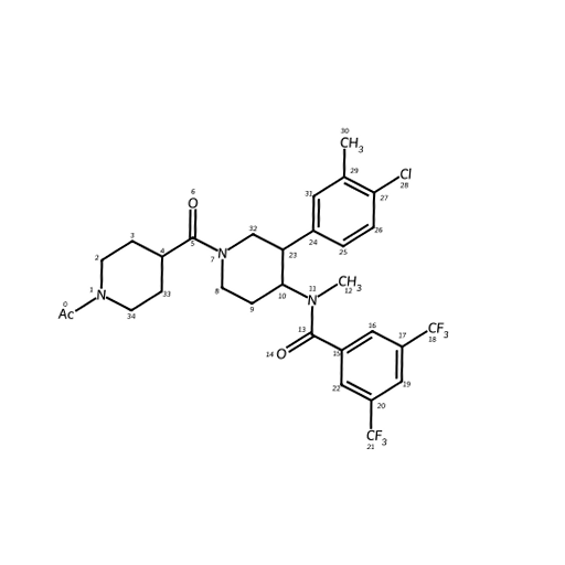 CC(=O)N1CCC(C(=O)N2CCC(N(C)C(=O)c3cc(C(F)(F)F)cc(C(F)(F)F)c3)C(c3ccc(Cl)c(C)c3)C2)CC1